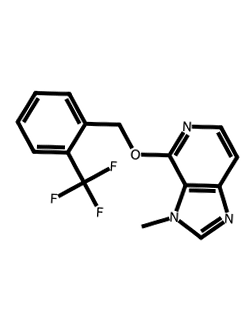 Cn1cnc2ccnc(OCc3ccccc3C(F)(F)F)c21